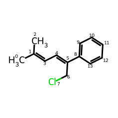 CC(C)=CC=C(CCl)c1ccccc1